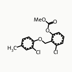 COC(=O)Oc1cccc(Cl)c1COc1ccc(C)cc1Cl